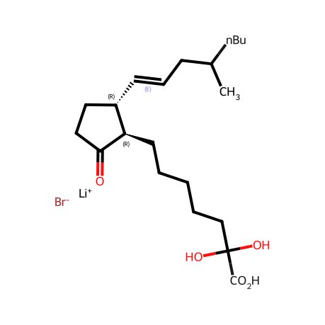 CCCCC(C)C/C=C/[C@H]1CCC(=O)[C@@H]1CCCCCC(O)(O)C(=O)O.[Br-].[Li+]